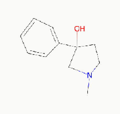 CN1CCC(O)(c2ccccc2)C1